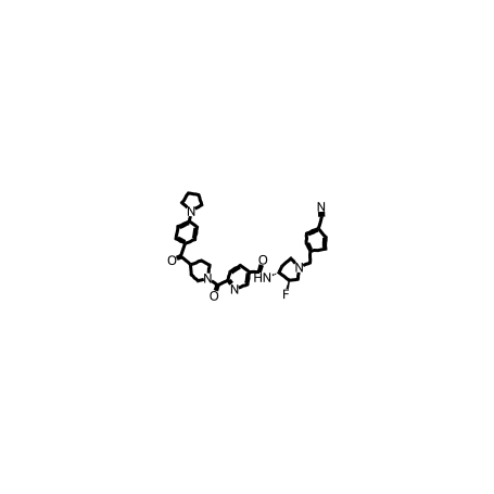 N#Cc1ccc(CN2CC[C@@H](NC(=O)c3ccc(C(=O)N4CCC(C(=O)c5ccc(N6CCCC6)cc5)CC4)nc3)[C@H](F)C2)cc1